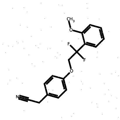 COc1ccccc1C(F)(F)COc1ccc(CC#N)cc1